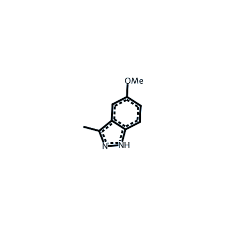 COc1ccc2[nH]nc(C)c2c1